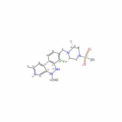 CCS(=O)(=O)N1CCN(Cc2cccc(NN(C=O)c3ccc(C)nc3)c2F)[C@H](C)C1